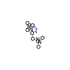 C=C1/C=C\C=C/CN(c2ccccc2-n2c3ccccc3c3ccccc32)c2ccc(-c3cccc(-c4cc(-c5ccccc5)nc(-c5ccccc5)n4)c3)cc21